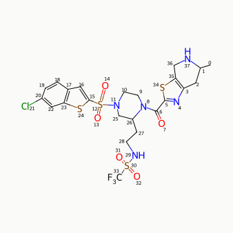 CC1Cc2nc(C(=O)N3CCN(S(=O)(=O)c4cc5ccc(Cl)cc5s4)CC3CCNS(=O)(=O)C(F)(F)F)sc2CN1